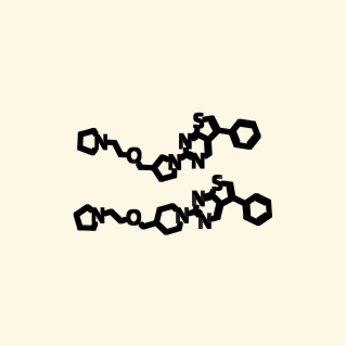 c1ccc(-c2csc3nc(N4CCC(COCCN5CCCC5)C4)ncc23)cc1.c1ccc(-c2csc3nc(N4CCC(COCCN5CCCC5)CC4)ncc23)cc1